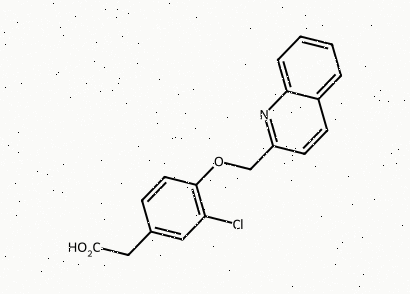 O=C(O)Cc1ccc(OCc2ccc3ccccc3n2)c(Cl)c1